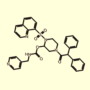 O=C(NCc1ccncc1)OC1CN(C(=O)C(c2ccccc2)c2ccccc2)CCN1S(=O)(=O)c1cccc2cccnc12